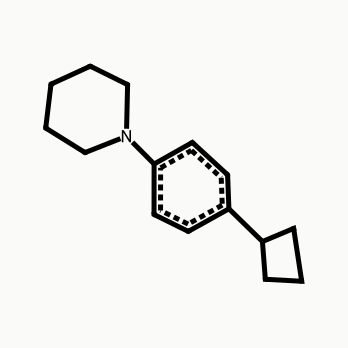 c1cc(N2CCCCC2)ccc1C1CCC1